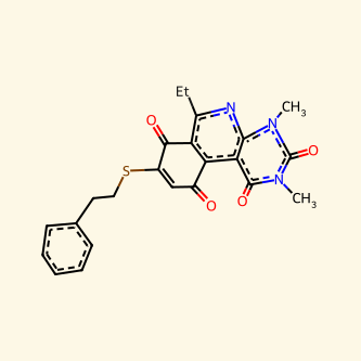 CCc1nc2c(c3c1C(=O)C(SCCc1ccccc1)=CC3=O)c(=O)n(C)c(=O)n2C